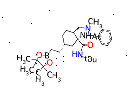 CC(=O)N[C@]1(C(=O)NC(C)(C)C)C[C@H](CCB2OC(C)(C)C(C)(C)O2)CC[C@H]1CN(C)Cc1ccccc1